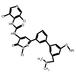 CCCOc1cc(CN(C)C)cc(-c2cccc(-c3cc(NC(=O)Nc4c(Cl)cncc4Cl)c(=O)n(CC)n3)c2)c1